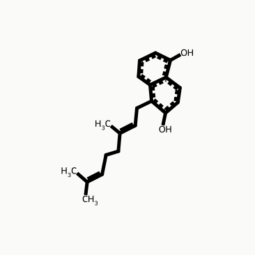 CC(C)=CCC/C(C)=C/Cc1c(O)ccc2c(O)cccc12